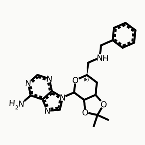 CC1(C)OC2C[C@H](CNCc3ccccc3)OC(n3cnc4c(N)ncnc43)C2O1